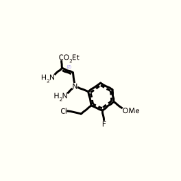 CCOC(=O)/C(N)=C/N(N)c1ccc(OC)c(F)c1CCl